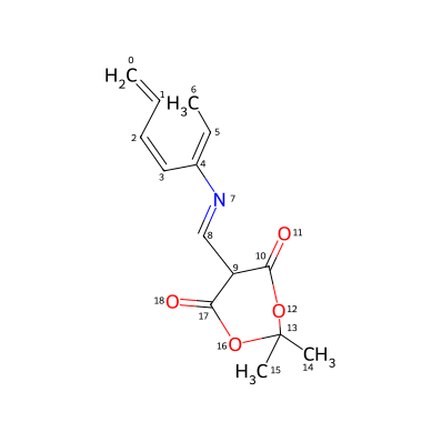 C=C\C=C/C(=C\C)/N=C/C1C(=O)OC(C)(C)OC1=O